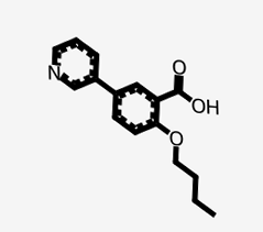 CCCCOc1ccc(-c2cccnc2)cc1C(=O)O